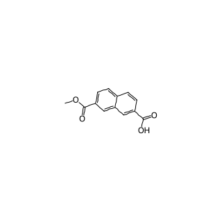 COC(=O)c1ccc2ccc(C(=O)O)cc2c1